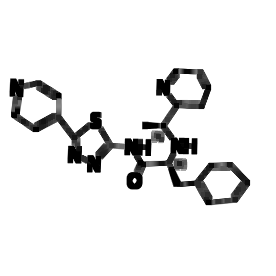 C[C@H](N[C@@H](Cc1ccccc1)C(=O)Nc1nnc(-c2ccncc2)s1)c1ccccn1